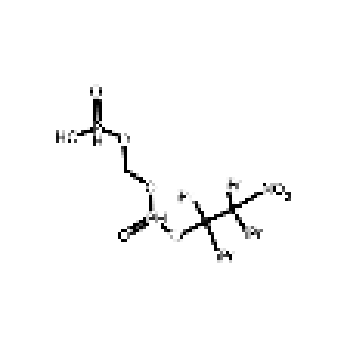 CC(C)C(O[PH](=O)OCO[PH](=O)O)(C(C)C)C(C(C)C)(C(C)C)[N+](=O)[O-]